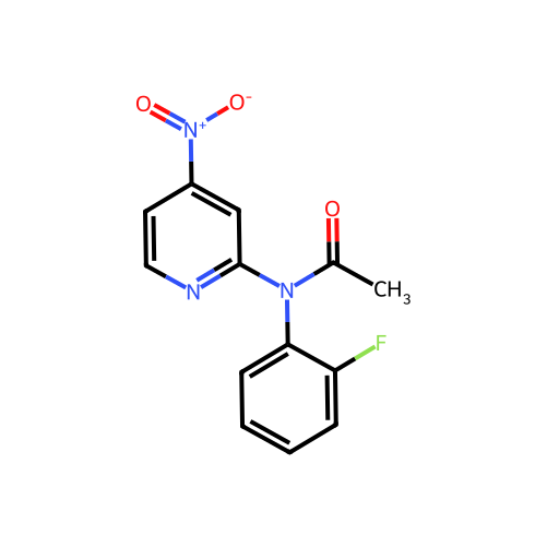 CC(=O)N(c1cc([N+](=O)[O-])ccn1)c1ccccc1F